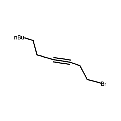 CCCCCCC#CCCBr